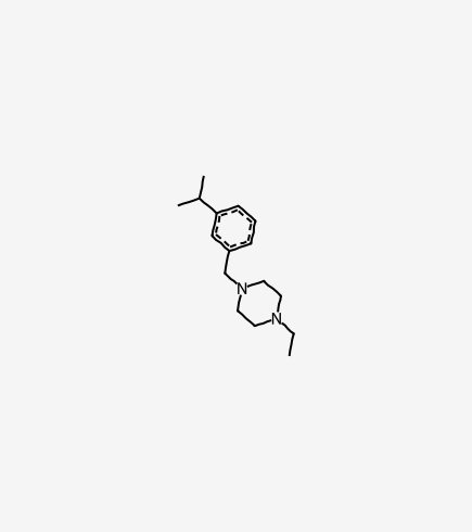 CCN1CCN(Cc2cccc(C(C)C)c2)CC1